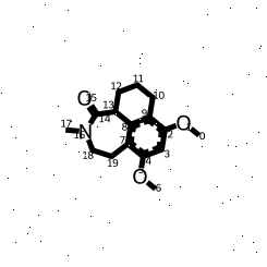 COc1cc(OC)c2c3c1CCCC3C(=O)N(C)CC2